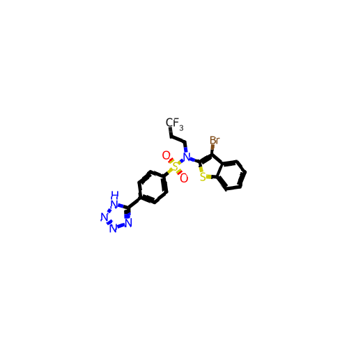 O=S(=O)(c1ccc(-c2nnn[nH]2)cc1)N(CCC(F)(F)F)c1sc2ccccc2c1Br